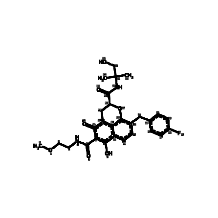 COCCNC(=O)c1c(O)c2ncc(Cc3ccc(F)cc3)c3c2n(c1=O)C[C@@H](C(=O)NC(C)(C)CO)O3